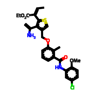 C=C(N)c1c(COc2cccc(C(=O)Nc3cc(Cl)ccc3OC)c2C)csc1/C(=C\C)C(=O)OCC